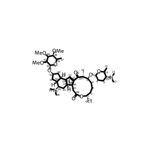 CC[C@H]1CCC[C@H](O[C@H]2CC[C@H](N(C)C)C(C)O2)[C@@H](C)C(=O)C2=C[C@@H]3[C@@H](C[C@@H](N(C)C)[C@@H]4C[C@@H](O[C@@H]5OC(C)[C@H](OC)C(OC)C5OC)C[C@@H]34)[C@@H]2CC(=O)O1